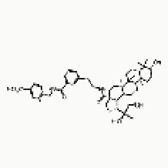 CC1(C)C2CC[C@]3(C)C(CCC4C5[C@H]([C@@](C)(O)CO)CC[C@]5(C(=O)NCCc5cccc(C(=O)NCc6ccc(C(=O)O)cn6)c5)CC[C@]43C)[C@@]2(C)CC[C@@H]1O